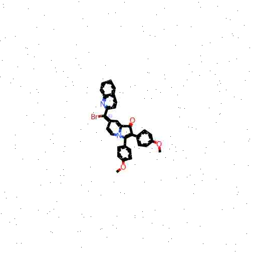 COc1ccc(C2=C(c3ccc(OC)cc3)N3C=C/C(=C(\Br)c4ccc5ccccc5n4)C=C3C2=O)cc1